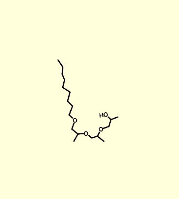 CCCCCCCCCOCC(C)OCC(C)OCC(C)O